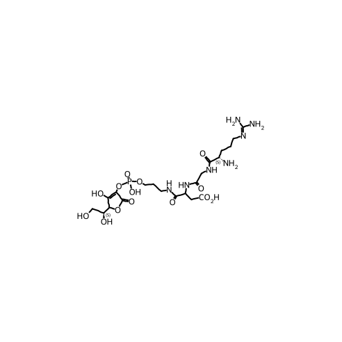 NC(N)=NCCC[C@H](N)C(=O)NCC(=O)NC(CC(=O)O)C(=O)NCCCOP(=O)(O)OC1=C(O)C([C@@H](O)CO)OC1=O